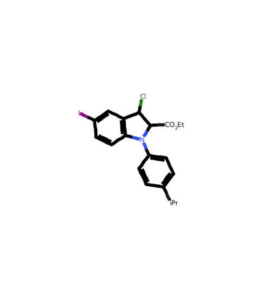 CCOC(=O)C1C(Cl)c2cc(I)ccc2N1c1ccc(C(C)C)cc1